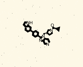 O=C(C1CC1)N1CC[C@@H](Cn2c(-c3ccc(-c4ccc5cc[nH]c5c4)cc3)nc3cnccc32)C1